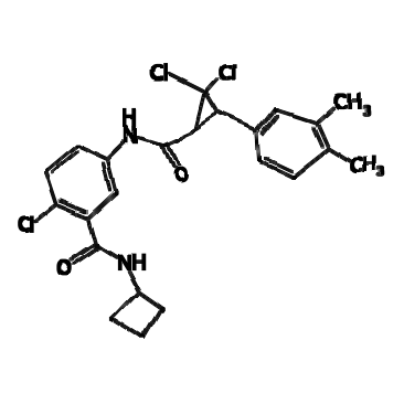 Cc1ccc(C2C(C(=O)Nc3ccc(Cl)c(C(=O)NC4CCC4)c3)C2(Cl)Cl)cc1C